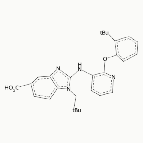 CC(C)(C)Cn1c(Nc2cccnc2Oc2ccccc2C(C)(C)C)nc2cc(C(=O)O)ccc21